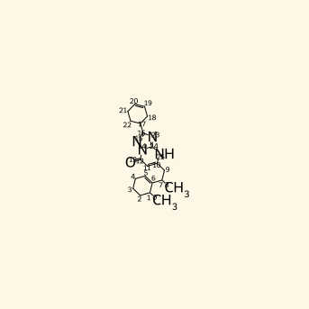 CC1CCCC=C1C(C)Cc1cc(=O)n2nc(C3CC=CCC3)nc2[nH]1